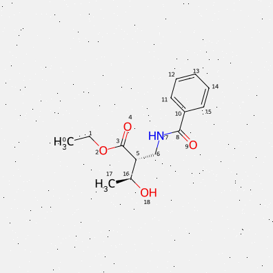 CCOC(=O)[C@H](CNC(=O)c1ccccc1)[C@H](C)O